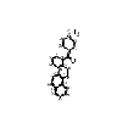 CN1CCN(C(=O)C2CC=CC3=C2CCc2c3ccc3ccccc23)CC1